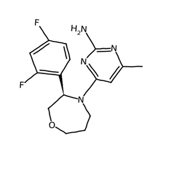 Cc1cc(N2CCCOC[C@H]2c2ccc(F)cc2F)nc(N)n1